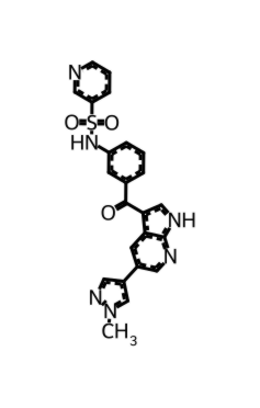 Cn1cc(-c2cnc3[nH]cc(C(=O)c4cccc(NS(=O)(=O)c5cccnc5)c4)c3c2)cn1